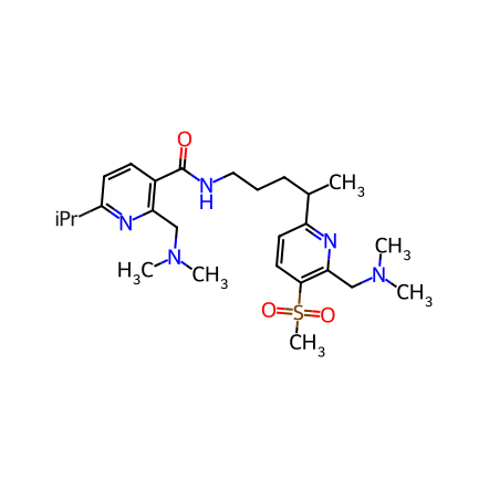 CC(C)c1ccc(C(=O)NCCCC(C)c2ccc(S(C)(=O)=O)c(CN(C)C)n2)c(CN(C)C)n1